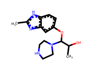 Cc1nc2cc(OC(C(C)O)N3CCNCC3)ccc2[nH]1